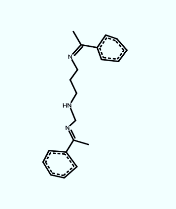 CC(=NCCCNCN=C(C)c1ccccc1)c1ccccc1